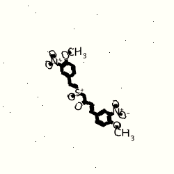 COc1ccc(C=CC(=O)C[S+]([O-])C=Cc2ccc(OC)c([N+](=O)[O-])c2)cc1[N+](=O)[O-]